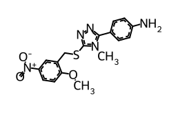 COc1ccc([N+](=O)[O-])cc1CSc1nnc(-c2ccc(N)cc2)n1C